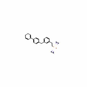 C=P(CCc1cccc(Cc2ccc(C3=CCCC=C3)cc2)c1)(N1CC1)N1CC1